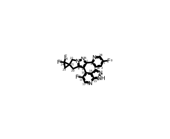 Fc1ccc(-c2nn3c(c2-c2c(F)cnc4[nH]ncc24)CC2(C3)CC2(F)F)nc1